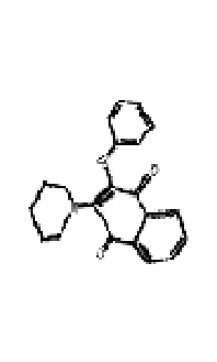 O=C1C(Sc2ccccc2)=C(N2CCCCC2)C(=O)c2ccccc21